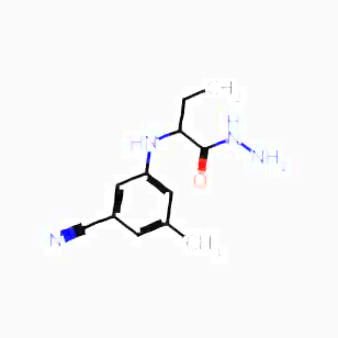 CCC(Nc1cc(C)cc(C#N)c1)C(=O)NN